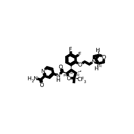 C[C@H]1[C@@H](c2ccc(F)c(F)c2OCCN2C[C@@H]3C[C@H]2CO3)[C@H](C(=O)Nc2ccnc(C(N)=O)c2)O[C@@]1(C)C(F)(F)F